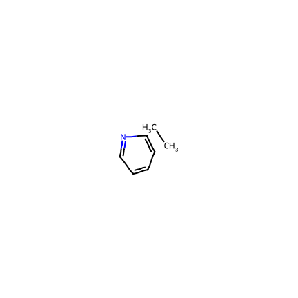 CC.c1ccncc1